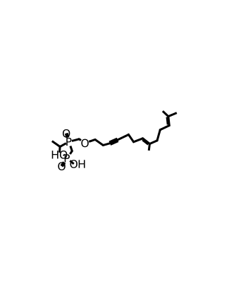 CC(C)=CCCC(C)=CCCC#CCCOCP(=O)(CP(=O)(O)O)C(C)C